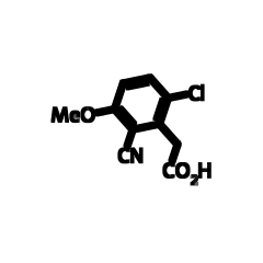 COc1ccc(Cl)c(CC(=O)O)c1C#N